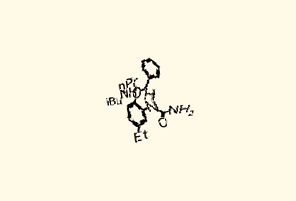 CCCNC(C)CC.CCc1ccc(OCc2ccccc2)c(NC(N)=O)c1